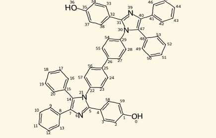 Oc1ccc(-c2nc(-c3ccccc3)c(-c3ccccc3)n2-c2ccc(-c3ccc(-n4c(-c5ccc(O)cc5)nc(-c5ccccc5)c4-c4ccccc4)cc3)cc2)cc1